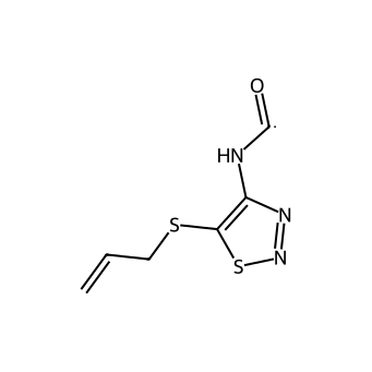 C=CCSc1snnc1N[C]=O